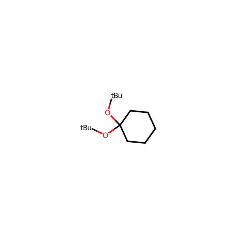 CC(C)(C)OC1(OC(C)(C)C)CCCCC1